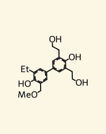 CCc1cc(-c2cc(CCO)c(O)c(CCO)c2)cc(COC)c1O